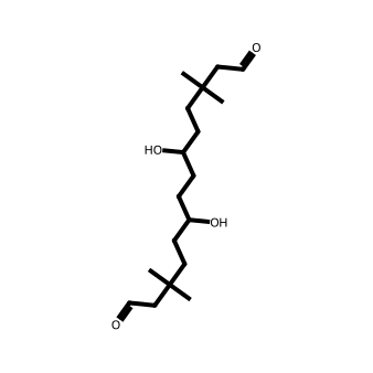 CC(C)(CC=O)CCC(O)CCC(O)CCC(C)(C)CC=O